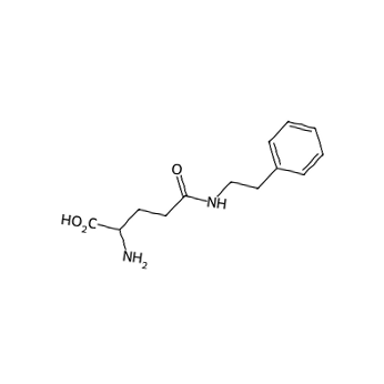 NC(CCC(=O)NCCc1ccccc1)C(=O)O